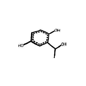 CC(O)c1cc(O)ccc1O